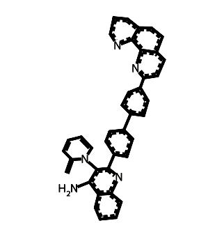 C=C1C=CC=CN1c1c(-c2ccc(-c3ccc(-c4ccc5ccc6cccnc6c5n4)cc3)cc2)nc2ccccc2c1N